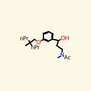 CCCC(C)(CCC)COc1cccc(C(O)CCN(C)C(C)=O)c1